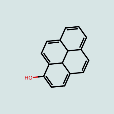 OC1=CC=C2C=CC3=CC=CC4=CC=C1C2C34